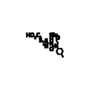 CC(C)(C)OCCN(C(=O)Nc1ncc(SCC(=O)O)s1)[C@H]1CC[C@H](C)CC1